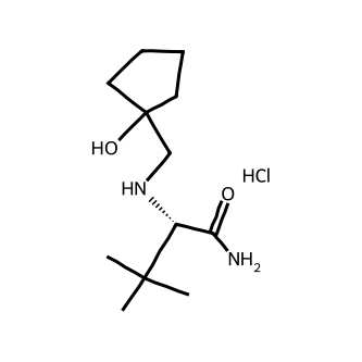 CC(C)(C)[C@H](NCC1(O)CCCC1)C(N)=O.Cl